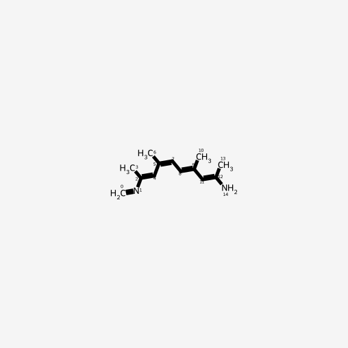 C=N/C(C)=C/C(C)=C\C=C(C)\C=C(/C)N